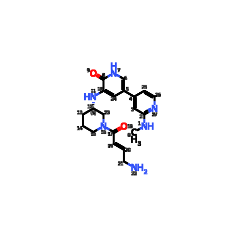 CNc1cc(-c2c[nH]c(=O)c(N[C@H]3CCCN(C(=O)C=CCN)C3)c2)ccn1